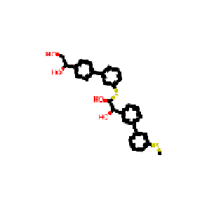 CSc1cccc(-c2cccc(C(O)C(O)Sc3cccc(-c4ccc(C(O)CO)cc4)c3)c2)c1